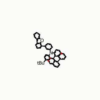 CC(C)(C)c1ccc(N(c2cccc(-c3cccc4c3oc3ccccc34)c2)c2ccccc2-c2cccc3cccc(-c4ccccc4)c23)cc1